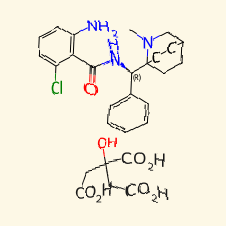 CN1CC2CCC1([C@H](NC(=O)c1c(N)cccc1Cl)c1ccccc1)CC2.O=C(O)CC(O)(CC(=O)O)C(=O)O